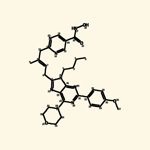 CCCCn1c(C/C=C(\C)Cc2ncc(C(=O)NO)cn2)nc2c(N3CCOCC3)nc(-c3ccc(OC)cc3)nc21